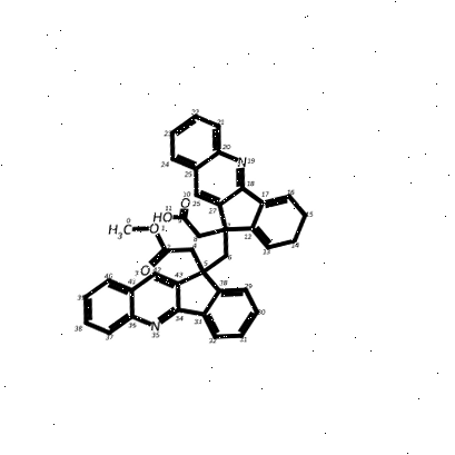 COC(=O)CC1(CC2(CC(=O)O)C3=CCCC=C3c3nc4ccccc4cc32)c2ccccc2-c2nc3ccccc3cc21